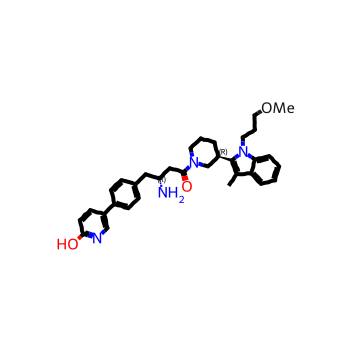 COCCCn1c([C@@H]2CCCN(C(=O)C[C@H](N)Cc3ccc(-c4ccc(O)nc4)cc3)C2)c(C)c2ccccc21